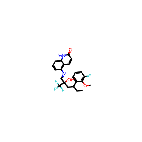 CCC(CC(O)(/C=N/c1cccc2[nH]c(=O)ccc12)C(F)(F)F)c1cccc(F)c1OC